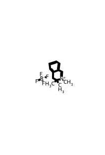 C[N+]1=Cc2ccccc2CC1(C)C.F[B-](F)(F)F